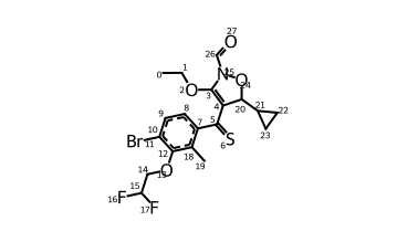 CCOC1=C(C(=S)c2ccc(Br)c(OCC(F)F)c2C)C(C2CC2)ON1C=O